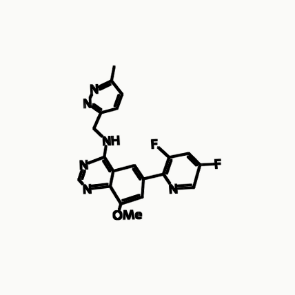 COc1cc(-c2ncc(F)cc2F)cc2c(NCc3ccc(C)nn3)ncnc12